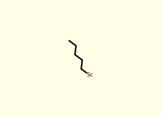 CCCC[CH2][Sc]